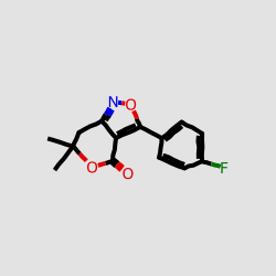 CC1(C)Cc2noc(-c3ccc(F)cc3)c2C(=O)O1